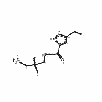 CC(C)(CN)CNC(=O)c1cc(CI)on1